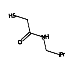 CC(C)CNC(=O)CS